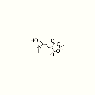 CNC(=CC=C1C(=O)OC(C)(C)OC1=O)CO